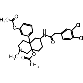 CC(=O)Oc1cccc(C23CCN(C)CC2(OC(C)=O)CCC(NC(=O)Cc2ccc(Cl)c(Cl)c2)C3)c1